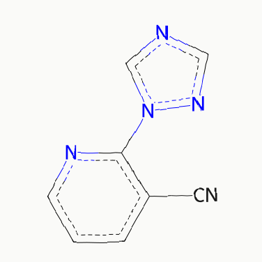 N#Cc1cccnc1-n1cncn1